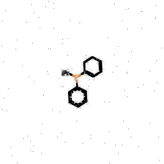 CC(C)P(C1=CC=CCC1)c1ccccc1